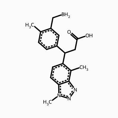 BCc1cc(C(CC(=O)O)c2ccc3c(nnn3C)c2C)ccc1C